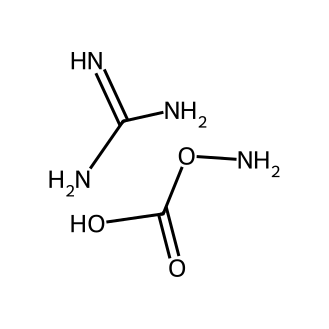 N=C(N)N.NOC(=O)O